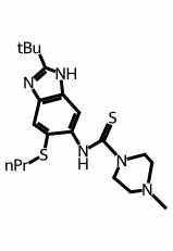 CCCSc1cc2nc(C(C)(C)C)[nH]c2cc1NC(=S)N1CCN(C)CC1